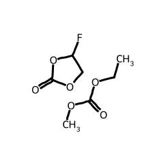 CCOC(=O)OC.O=C1OCC(F)O1